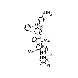 CCC(C)C(C(CC(=O)N1CCC[C@H]1C(OC)C(C)C(=O)NC(Cc1ccccc1)C(=O)NS(=O)(=O)c1ccc(CN)cc1)OC)N(C)C(=O)C(NC(=O)C(C(C)C)N(C)C)C(C)C